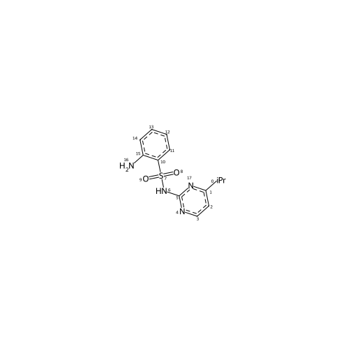 CC(C)c1ccnc(NS(=O)(=O)c2ccccc2N)n1